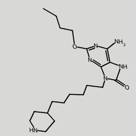 CCCCOc1nc(N)c2[nH]c(=O)n(CCCCCCC3CCNCC3)c2n1